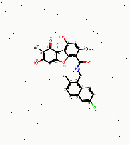 COc1cc(O)c2c(c1C(=O)NCc1c(C)ccc3cc(Cl)ccc13)OC1=CC(O)=C(C(C)=O)C(=O)[C@]12C